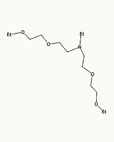 CCOCCOCCN(CC)CCOCCOCC